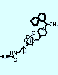 C#CC(=O)NCCNC(=O)CN(CC1CCN(C(C)c2cccc3ccccc23)CC1)[SH](=O)=O